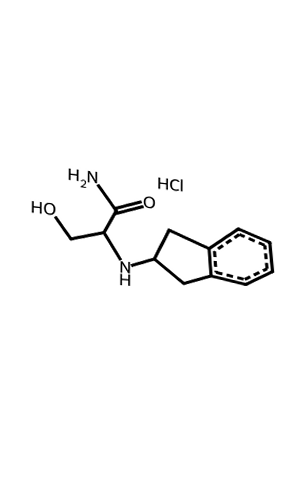 Cl.NC(=O)C(CO)NC1Cc2ccccc2C1